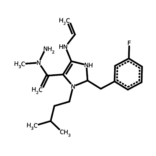 C=CNC1=C(C(=C)N(C)N)N(CCC(C)C)C(Cc2cccc(F)c2)N1